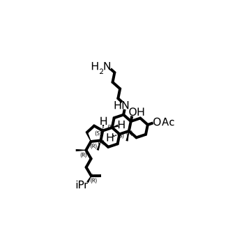 CC(=O)OC1CC[C@]2(C)[C@H]3CC[C@]4(C)[C@@H]([C@H](C)CC[C@@H](C)C(C)C)CC[C@H]4[C@@H]3CC(NCCCCN)C2(O)C1